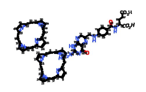 C1=Cc2cc3ccc(cc4nc(cc5ccc(cc1n2)[nH]5)C=C4)[nH]3.C1=Cc2cc3ccc(cc4nc(cc5ccc(cc1n2)[nH]5)C=C4)[nH]3.Nc1nc(=O)c2nc(CNc3ccc(C(=O)N[C@@H](CCC(=O)O)C(=O)O)cc3)cnc2[nH]1